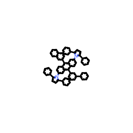 c1ccc(-c2cccc(-c3c4ccc(-n5c(-c6ccccc6)ccc5-c5ccccc5)cc4c(-c4ccc5ccccc5c4)c4ccc(-n5c(-c6ccccc6)ccc5-c5ccccc5)cc34)c2)cc1